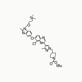 Cc1nn(CC2CCN(C(=O)OC(C)(C)C)CC2)cc1-c1cnc2ccc(Oc3ccc4c(c3)nc(C)n4COCC[Si](C)(C)C)c(Cl)c2n1